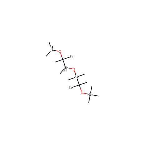 CCC(C)(O[SiH](C)C)[SiH](C)O[Si](C)(C)C(C)(CC)O[Si](C)(C)C